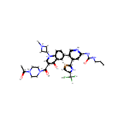 CCCNC(=O)Nc1cc(-c2nc(C(F)(F)F)cs2)c(-c2ccc3c(c2)c(=O)c(C(=O)N2CCN(C(C)=O)CC2)cn3C2CN(C)C2)cn1